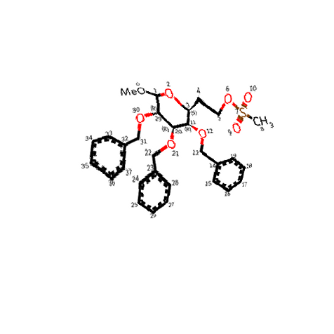 COC1O[C@@H](CCOS(C)(=O)=O)[C@@H](OCc2ccccc2)[C@@H](OCc2ccccc2)[C@H]1OCc1ccccc1